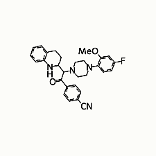 COc1cc(F)ccc1N1CCN(C(C(=O)c2ccc(C#N)cc2)C2CCc3ccccc3N2)CC1